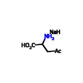 CC(=O)CC(N)C(=O)O.[NaH]